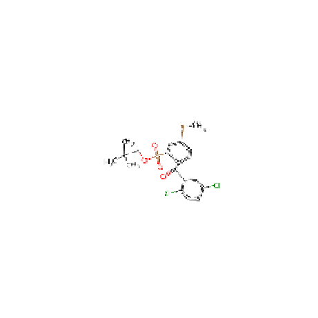 CSc1ccc(C(=O)c2cc(Cl)ccc2Cl)c(S(=O)(=O)OCC(C)(C)C)c1